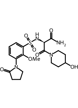 COc1c(N2CCCC2=O)cccc1S(=O)(=O)N[C@@H](C(N)=O)C(=O)N1CCC(O)CC1